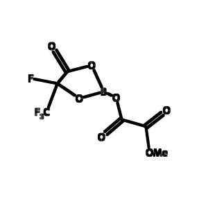 COC(=O)C(=O)OB1OC(=O)C(F)(C(F)(F)F)O1